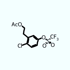 CC(=O)OCCc1cc(OS(=O)(=O)C(F)(F)F)ccc1Cl